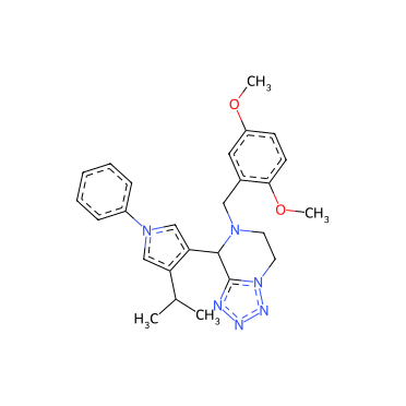 COc1ccc(OC)c(CN2CCn3nnnc3C2c2cn(-c3ccccc3)cc2C(C)C)c1